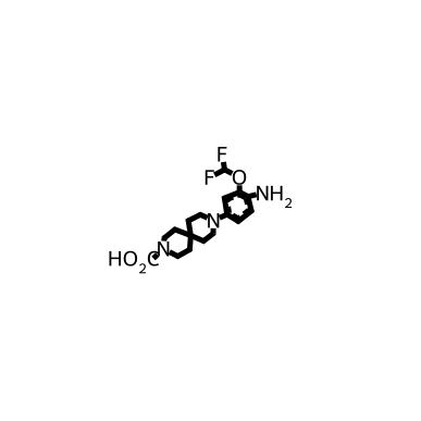 Nc1ccc(N2CCC3(CCN(C(=O)O)CC3)CC2)cc1OC(F)F